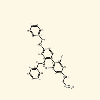 O=C(O)CNc1cc(F)c(-c2ccc(OCc3ccccc3)nc2OCc2ccccc2)c(F)c1